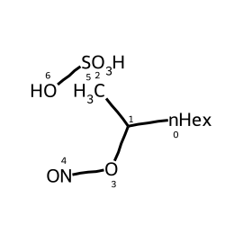 CCCCCCC(C)ON=O.O=S(=O)(O)O